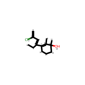 C=C(Cl)/C=C(\CC)C1=C(C)C(C)(O)CCC1